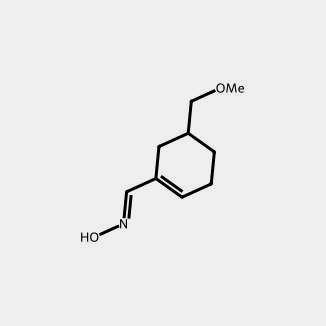 COCC1CCC=C(/C=N/O)C1